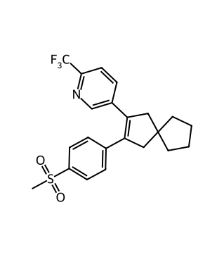 CS(=O)(=O)c1ccc(C2=C(c3ccc(C(F)(F)F)nc3)CC3(CCCC3)C2)cc1